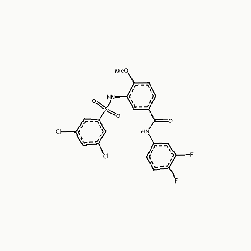 COc1ccc(C(=O)Nc2ccc(F)c(F)c2)cc1NS(=O)(=O)c1cc(Cl)cc(Cl)c1